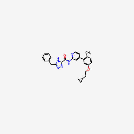 Cc1ccc(OCCC2CC2)cc1-c1ccnc(NC(=O)c2nnc(Cc3ccccc3)[nH]2)c1